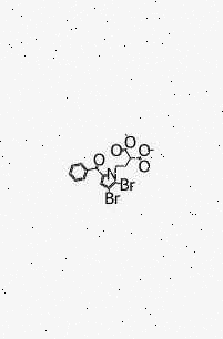 COC(=O)C(CCn1c(C(=O)c2ccccc2)cc(Br)c1Br)C(=O)OC